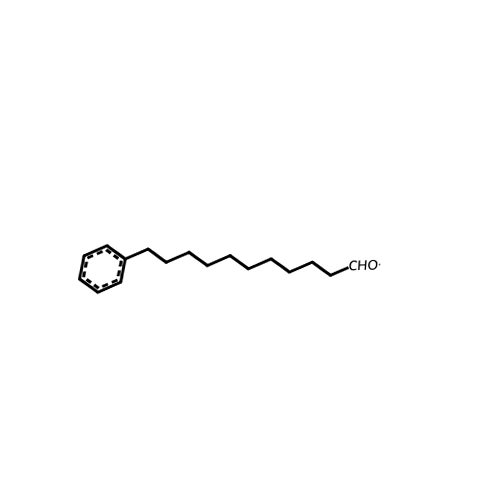 O=[C]CCCCCCCCCCc1ccccc1